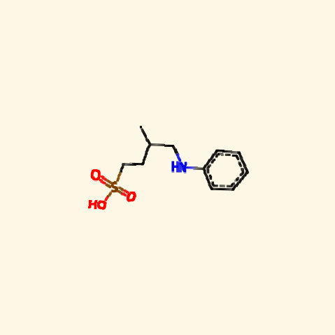 CC(CCS(=O)(=O)O)CNc1ccccc1